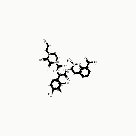 O=C(O)c1cccc2c1OB(O)[C@@H](NC(=O)C(NC(=O)N1CCN(CCF)C(=O)C1=O)c1ccc(O)c(F)c1F)C2